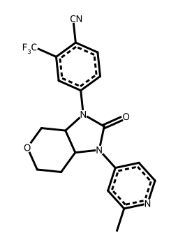 Cc1cc(N2C(=O)N(c3ccc(C#N)c(C(F)(F)F)c3)C3COCCC32)ccn1